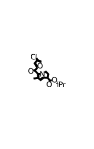 Cc1cc2n(c1C(=O)c1cc(Cl)co1)CCC2C(=O)OC(C)C